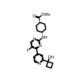 COC(=O)[C@H]1CC[C@H](Nc2ncc(F)c(-c3ccnc(C4(O)CCC4)c3)n2)CC1